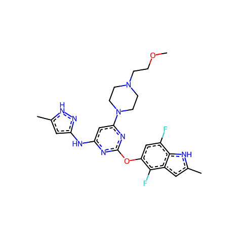 COCCN1CCN(c2cc(Nc3cc(C)[nH]n3)nc(Oc3cc(F)c4[nH]c(C)cc4c3F)n2)CC1